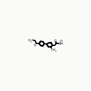 Cc1cc(-c2ccc(C(=O)C[N+](=O)[O-])cc2)ccc1CC(=O)NCl